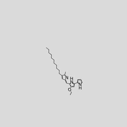 CCCCCCCCCCCC1=C/C(=C/c2[nH]c(-c3ccc[nH]3)cc2OCC)N=C1C